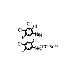 N#[N+]c1cc(F)c(Cl)cc1Cl.N#[N+]c1cc(F)c(Cl)cc1Cl.[Cl-].[Cl-].[Cl-].[Cl-].[Sn+4]